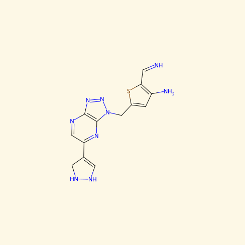 N=Cc1sc(Cn2nnc3ncc(C4=CNNC4)nc32)cc1N